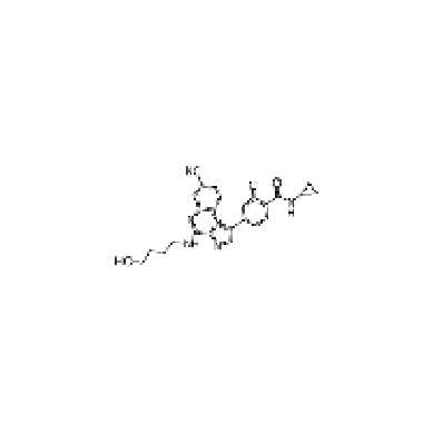 N#Cc1ccc2c(c1)nc(NCCCCO)c1ncc(-c3ccc(C(=O)NC4CC4)c(Cl)c3)n12